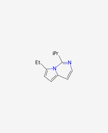 CCc1ccc2ccnc(C(C)C)n12